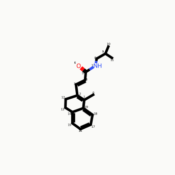 CC1=C(C=CC(=O)NCC(C)C)CCc2ccccc21